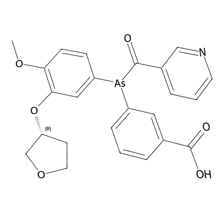 COc1ccc([As](C(=O)c2cccnc2)c2cccc(C(=O)O)c2)cc1O[C@@H]1CCOC1